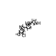 COc1cc2ncc(-c3cccc(NC4CCNC4)n3)n2cc1Cl